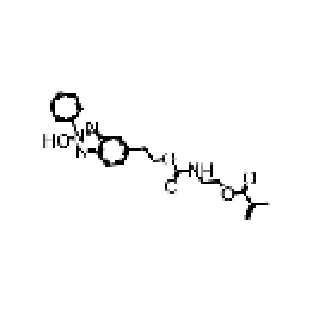 C=C(C)C(=O)OCCNC(=O)OCCc1ccc2c(c1)=N[N+](O)(c1ccccc1)N=2